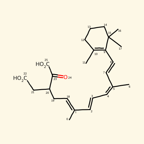 CC(C=C/C=C(/C)C=CC1=C(C)CCCC1(C)C)=CCC(CC(=O)O)C(=O)C(=O)O